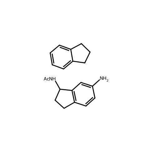 CC(=O)NC1CCc2ccc(N)cc21.c1ccc2c(c1)CCC2